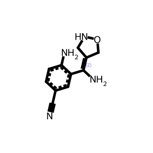 N#Cc1ccc(N)c(/C(N)=C2\CNOC2)c1